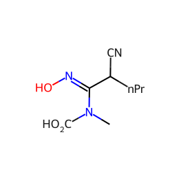 CCCC(C#N)C(=NO)N(C)C(=O)O